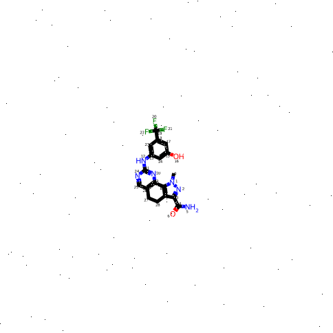 Cn1nc(C(N)=O)c2c1-c1nc(Nc3cc(O)cc(C(F)(F)F)c3)ncc1CC2